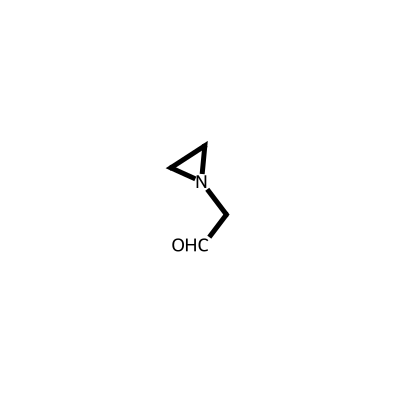 O=CCN1CC1